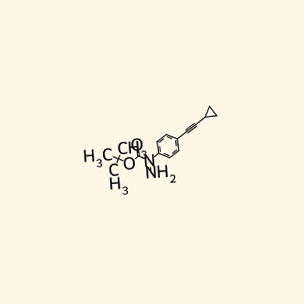 CC(C)(C)OC(=O)N(N)c1ccc(C#CC2CC2)cc1